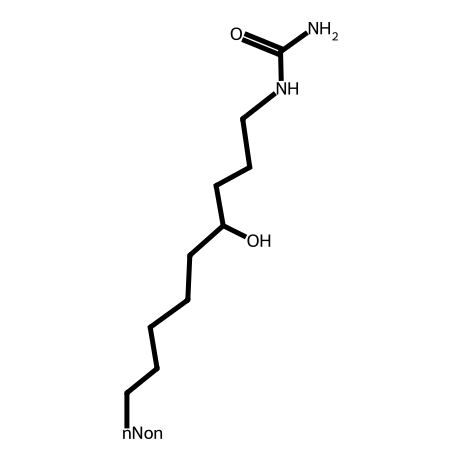 CCCCCCCCCCCCCCC(O)CCCNC(N)=O